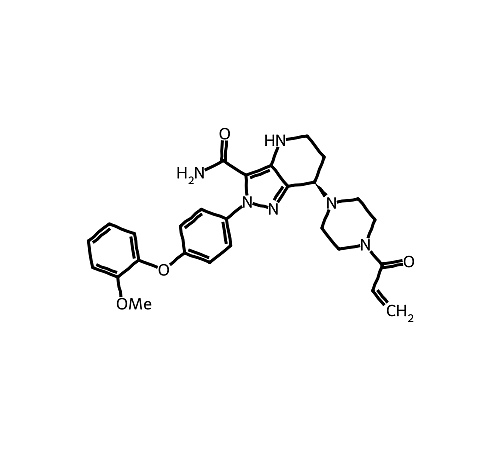 C=CC(=O)N1CCN([C@@H]2CCNc3c2nn(-c2ccc(Oc4ccccc4OC)cc2)c3C(N)=O)CC1